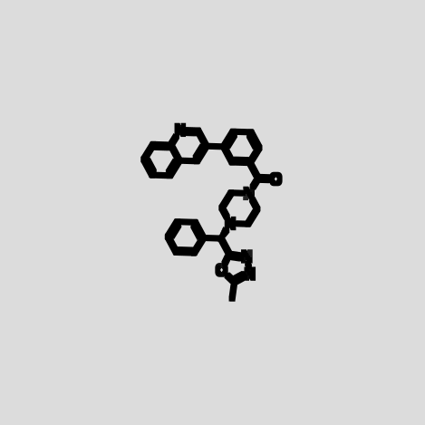 Cc1nnc([C@@H](c2ccccc2)N2CCN(C(=O)c3cccc(-c4cnc5ccccc5c4)c3)CC2)o1